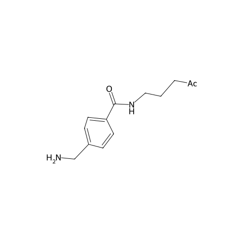 CC(=O)CCCNC(=O)c1ccc(CN)cc1